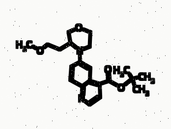 COCCC1COCCN1c1ccc2nccc(C(=O)OC(C)(C)C)c2c1